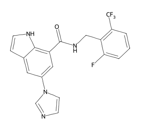 O=C(NCc1c(F)cccc1C(F)(F)F)c1cc(-n2ccnc2)cc2cc[nH]c12